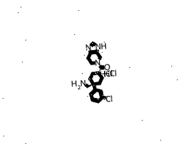 Cl.Cl.NC[C@]1(c2cccc(Cl)c2)CC[C@@H](C(=O)N2CCc3nc[nH]c3C2)CC1